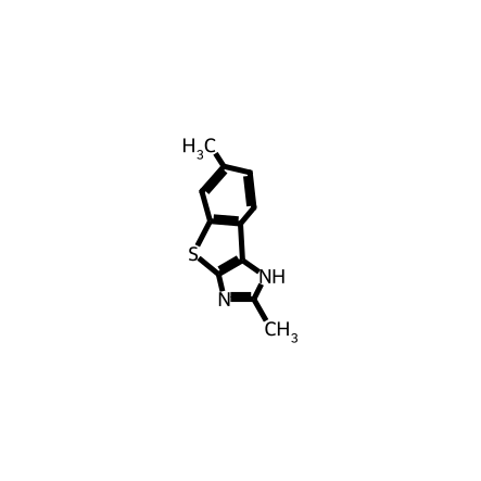 Cc1ccc2c(c1)sc1nc(C)[nH]c12